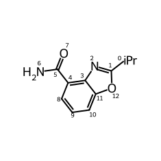 CC(C)c1nc2c(C(N)=O)cccc2o1